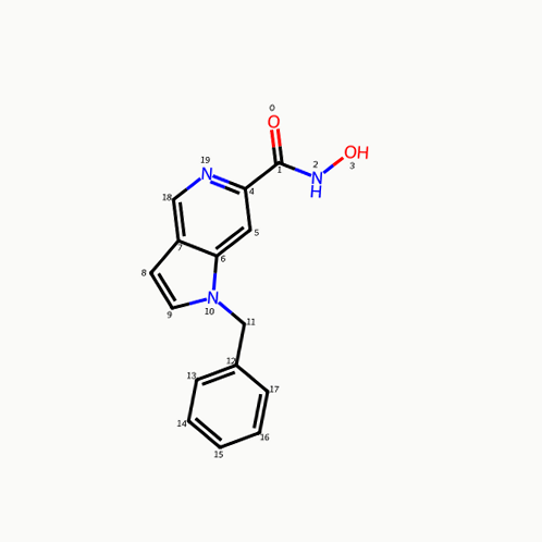 O=C(NO)c1cc2c(ccn2Cc2ccccc2)cn1